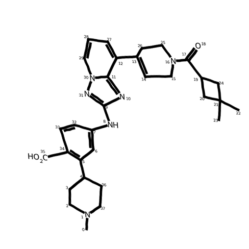 CN1CCC(c2cc(Nc3nc4c(C5=CCN(C(=O)C6CC(C)(C)C6)CC5)cccn4n3)ccc2C(=O)O)CC1